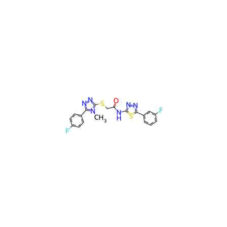 Cn1c(SCC(=O)Nc2nnc(-c3cccc(F)c3)s2)nnc1-c1ccc(F)cc1